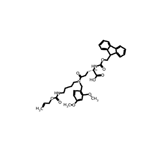 C=CCOC(=O)NCCCCN(Cc1ccc(OC)cc1OC)C(=O)CC[C@H](NC(=O)OCC1c2ccccc2-c2ccccc21)C(=O)O